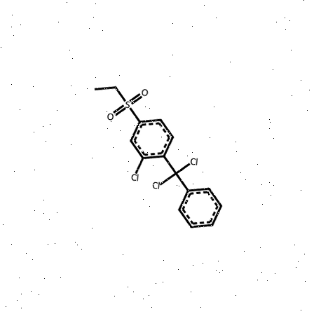 CCS(=O)(=O)c1ccc(C(Cl)(Cl)c2ccccc2)c(Cl)c1